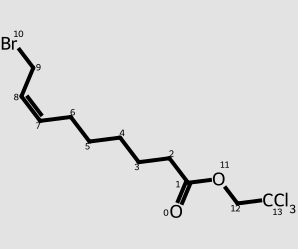 O=C(CCCCC/C=C\CBr)OCC(Cl)(Cl)Cl